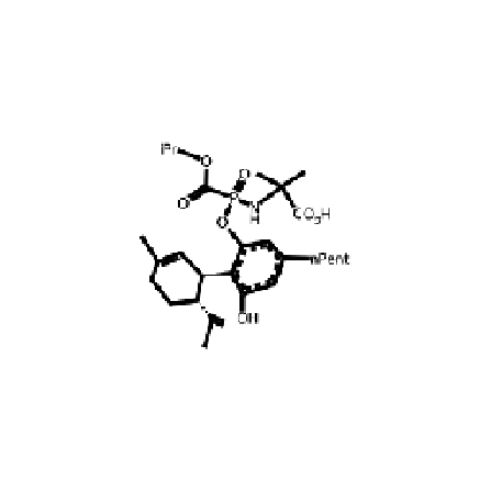 C=C(C)[C@@H]1CCC(C)=C[C@H]1c1c(O)cc(CCCCC)cc1OP(=O)(NC(C)(C)C(=O)O)C(=O)OC(C)C